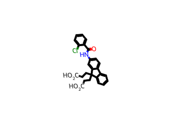 O=C(O)CCC1(CCC(=O)O)c2ccccc2-c2ccc(NC(=O)c3ccccc3Cl)cc21